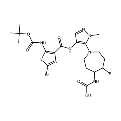 Cn1ncc(NC(=O)c2nc(Br)sc2NC(=O)OC(C)(C)C)c1N1CCC(F)C(NC(=O)O)CC1